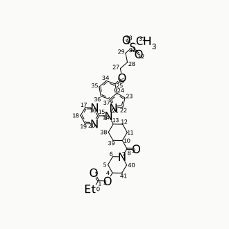 CCC(=O)OC1CCN(C(=O)C2CCC(N(c3ncccn3)n3ccc4c(OCCCS(C)(=O)=O)cccc43)CC2)CC1